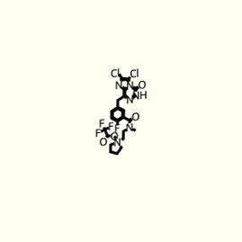 CN(CC[N+]1(OC(=O)C(F)(F)F)CCCC1)C(=O)c1cc(Cc2n[nH]c(=O)n3c(Cl)c(Cl)nc23)ccc1F